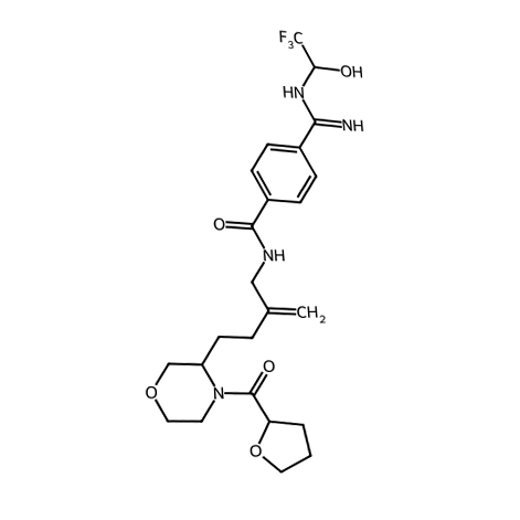 C=C(CCC1COCCN1C(=O)C1CCCO1)CNC(=O)c1ccc(C(=N)NC(O)C(F)(F)F)cc1